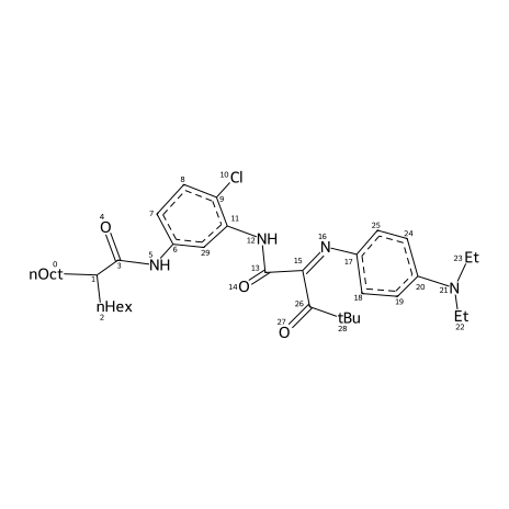 CCCCCCCCC(CCCCCC)C(=O)Nc1ccc(Cl)c(NC(=O)C(=Nc2ccc(N(CC)CC)cc2)C(=O)C(C)(C)C)c1